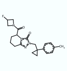 Cc1ccc(C2(Cn3nc4n(c3=O)C(C(=O)N3CC(F)C3)CCC4)CC2)cc1